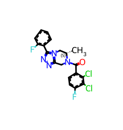 C[C@H]1Cn2c(nnc2-c2ccccc2F)CN1C(=O)c1ccc(F)c(Cl)c1Cl